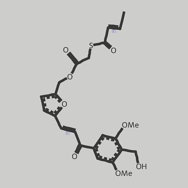 C/C=C/C(=O)SCC(=O)OCc1ccc(/C=C/C(=O)c2cc(OC)c(CO)c(OC)c2)o1